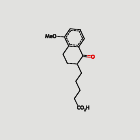 COc1cccc2c1CCC(CCCCC(=O)O)C2=O